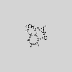 C=Cc1ccccc1.O=C1CC1